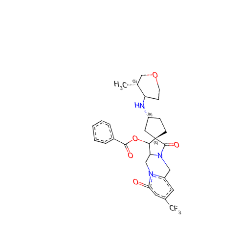 C[C@@H]1COCCC1N[C@@H]1CC[C@@]2(C1)C(=O)N1Cc3cc(C(F)(F)F)cc(=O)n3CC1C2OC(=O)c1ccccc1